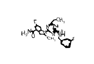 CCc1nc(NCc2cccc(F)c2)nc(N2c3cc(F)cc(C(N)=O)c3CC2C)n1